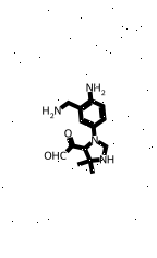 CC1(C)NCN(c2ccc(N)c(CN)c2)C1C(=O)C=O